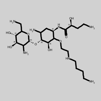 NCCCCNCCOC1[C@@H](O)[C@H](O[C@H]2OC(CN)[C@@H](O)[C@H](O)C2N)C(N)C[C@H]1NC(=O)[C@@H](O)CCN